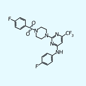 O=S(=O)(c1ccc(F)cc1)N1CCN(c2nc(Nc3ccc(F)cc3)cc(C(F)(F)F)n2)CC1